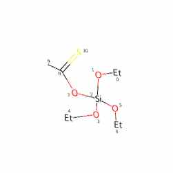 CCO[Si](OCC)(OCC)OC(C)=S